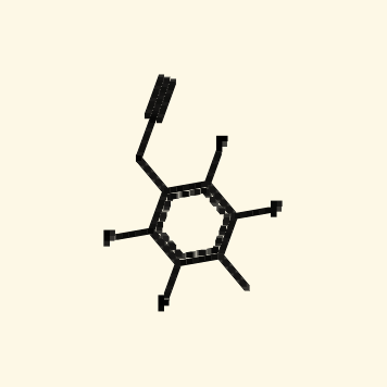 C#CCc1c(F)c(F)c(C)c(F)c1F